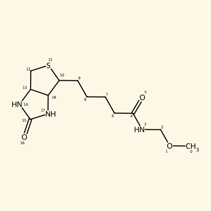 COCNC(=O)CCCCC1SCC2NC(=O)NC21